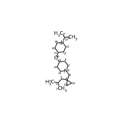 CC(C)CC1(CN2CCC(OC3CCN(C(C)C)CC3)CC2)CC1